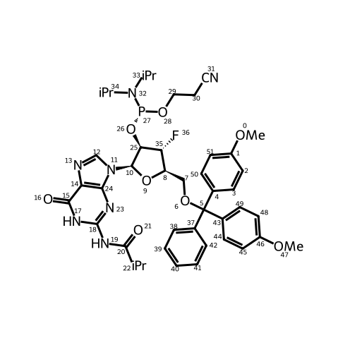 COc1ccc(C(OC[C@H]2O[C@@H](n3cnc4c(=O)[nH]c(NC(=O)C(C)C)nc43)[C@@H](O[P@@](OCCC#N)N(C(C)C)C(C)C)[C@@H]2F)(c2ccccc2)c2ccc(OC)cc2)cc1